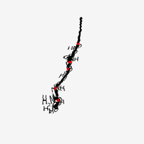 CCCCCCCCCCCCCCCCCC(=O)NCCOCCOCC(=O)NCCOCCOCC(=O)NCCOCCOCC(=O)NCCCC[C@H](NCN)C(=O)CN[C@@H](CO)C(N)=O